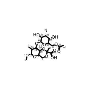 CO[C@@H]1OC2COC(C)(C(=O)O)O[C@@H]2C(O[C@@H]2OC(COC(C)=O)[C@@H](O)[C@@H](C)C2O)C1C